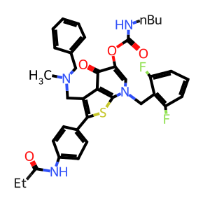 CCCCNC(=O)Oc1cn(Cc2c(F)cccc2F)c2sc(-c3ccc(NC(=O)CC)cc3)c(CN(C)Cc3ccccc3)c2c1=O